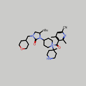 CCCCC1CN(CC2CCOCC2)C(=O)N1C1CC[N+](C(=O)c2c(C)cc(C#N)nc2C)(C2(C)CCNCC2)CC1